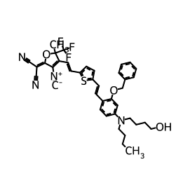 [C-]#[N+]C1=C(/C=C/c2ccc(/C=C/c3ccc(N(CCCC)CCCCO)cc3OCc3ccccc3)s2)C(C)(C(F)(F)F)OC1=C(C#N)C#N